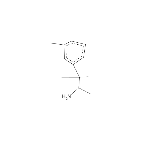 Cc1cccc(C(C)(C)C(C)N)c1